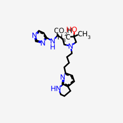 CC(C)(O)CN(CCCCc1ccc2c(n1)NCCC2)CCC(Nc1ccncn1)C(=O)O